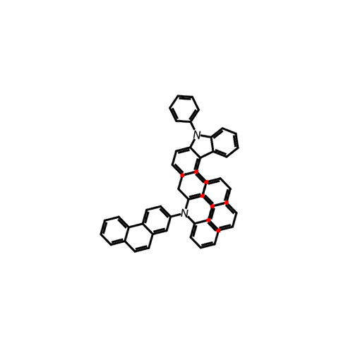 C1=CC(c2ccccc2)=C(N(c2ccc3c(ccc4ccccc43)c2)c2ccccc2-c2cccc(-c3cccc4c3c3ccccc3n4-c3ccccc3)c2)CC1